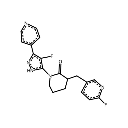 O=C1C(Cc2ccc(F)nc2)CCCN1c1[nH]nc(-c2ccncc2)c1F